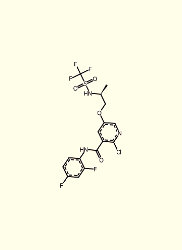 C[C@@H](COc1cnc(Cl)c(C(=O)Nc2ccc(F)cc2F)c1)NS(=O)(=O)C(F)(F)F